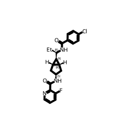 CC[C@@H](NC(=O)c1ccc(Cl)cc1)[C@H]1[C@@H]2C[C@@H](NC(=O)c3ncccc3F)C[C@@H]21